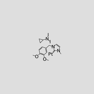 COc1ccc(Cn2ccn(C)[c]2=[Pt])cc1OC.IN(I)C1CC1